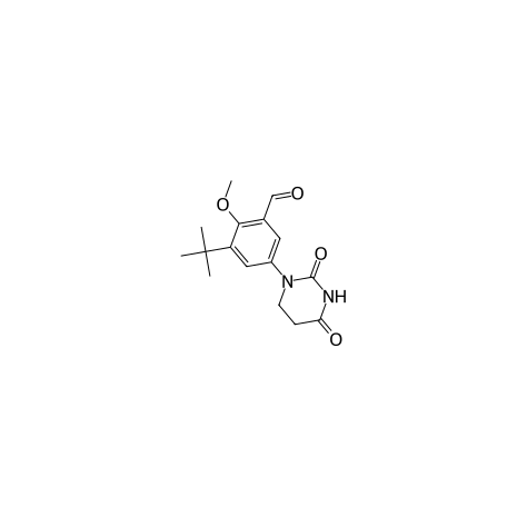 COc1c(C=O)cc(N2CCC(=O)NC2=O)cc1C(C)(C)C